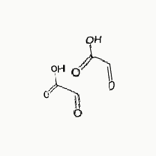 O=CC(=O)O.O=CC(=O)O